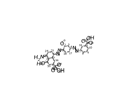 COc1cc(N=Nc2cccc(S(=O)(=O)O)c2)ccc1N=Nc1ccc(N)c2c(O)cc(S(=O)(=O)O)cc12